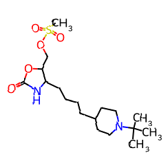 CC(C)(C)N1CCC(CCCCC2NC(=O)OC2COS(C)(=O)=O)CC1